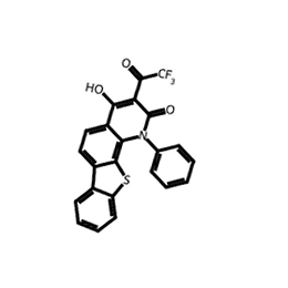 O=C(c1c(O)c2ccc3c4ccccc4sc3c2n(-c2ccccc2)c1=O)C(F)(F)F